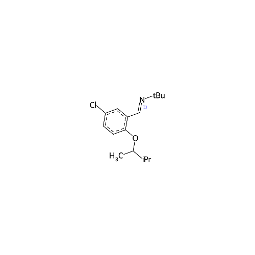 CC(C)C(C)Oc1ccc(Cl)cc1/C=N/C(C)(C)C